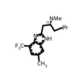 CN[C@H](Cc1nc2c(C(F)(F)F)cc(C)cc2[nH]1)CC(C)C